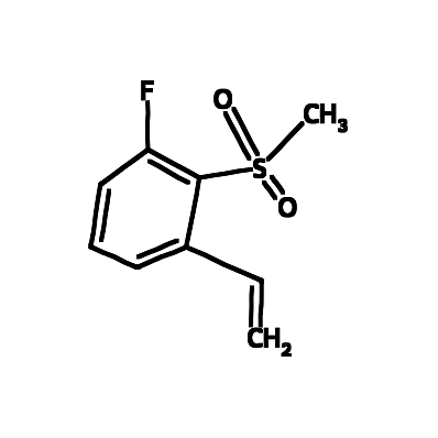 C=Cc1cccc(F)c1S(C)(=O)=O